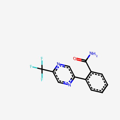 NC(=O)c1ccccc1-c1cnc(C(F)(F)F)cn1